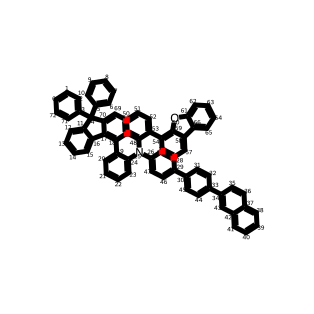 c1ccc(C2(c3ccccc3)c3ccccc3-c3c(-c4ccccc4N(c4ccc(-c5ccc(-c6ccc7ccccc7c6)cc5)cc4)c4ccccc4-c4cccc5c4oc4ccccc45)cccc32)cc1